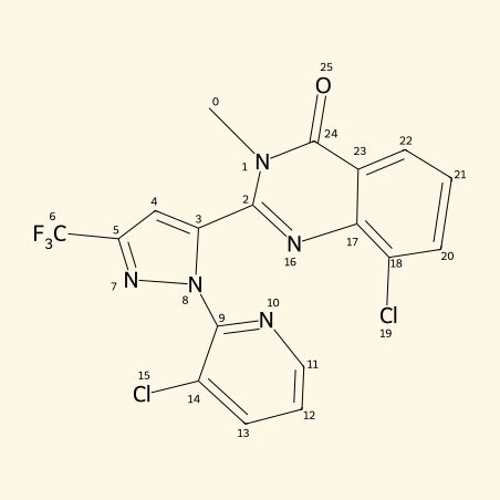 Cn1c(-c2cc(C(F)(F)F)nn2-c2ncccc2Cl)nc2c(Cl)cccc2c1=O